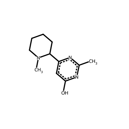 Cc1nc(O)cc(C2CCCCN2C)n1